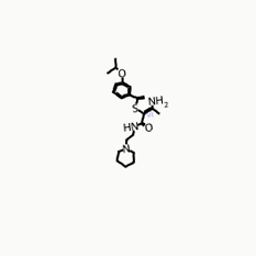 C=C(S/C(C(=O)NCCN1CCCCC1)=C(/C)N)c1cccc(OC(C)C)c1